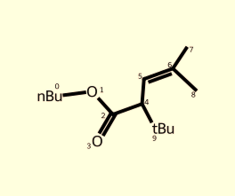 CCCCOC(=O)C(C=C(C)C)C(C)(C)C